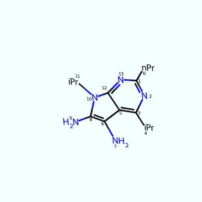 CCCc1nc(C(C)C)c2c(N)c(N)n(C(C)C)c2n1